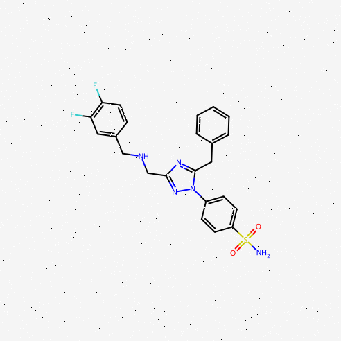 NS(=O)(=O)c1ccc(-n2nc(CNCc3ccc(F)c(F)c3)nc2Cc2ccccc2)cc1